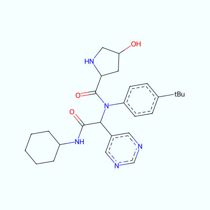 CC(C)(C)c1ccc(N(C(=O)C2CC(O)CN2)C(C(=O)NC2CCCCC2)c2cncnc2)cc1